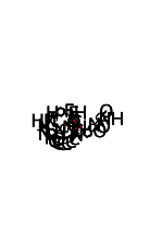 Cc1nc2c3cc(N4CCN(C(=O)CNc5cccc6c5CN(C5CCC(=O)NC5=O)C6=O)CC4)c(=O)n(c3n1)CCCCCCN1CC(CCC(F)(F)c3cccc(c3)[C@@H](C)N2)C1